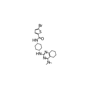 CN(C)c1nc(N[C@H]2CC[C@@H](NC(=O)c3ccc(Br)s3)CC2)nc2c1CCCC2